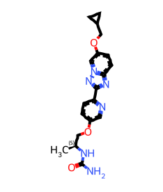 C[C@@H](COc1ccc(-c2nc3ccc(OCC4CC4)cn3n2)nc1)NC(N)=O